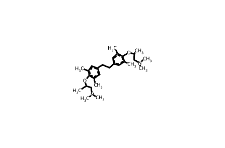 Cc1cc(CCc2cc(C)c(OC(C)CN(C)C)c(C)c2)cc(C)c1OC(C)CN(C)C